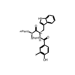 CCCCCN(CCCCC)C(=O)[C@@H](Cc1c[nH]c2ccccc12)NC(=O)c1ccc(O)c(I)c1